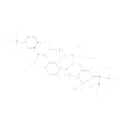 CCN(C(=O)c1cc(C(F)(F)F)ccc1F)c1cccc(C(=O)Nc2c(Br)cc(C(F)(C(F)(F)F)C(F)(F)F)cc2OC(F)F)c1OC